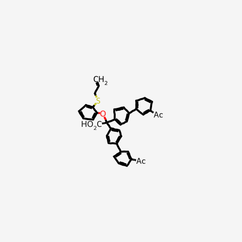 C=CCSc1ccccc1OC(C(=O)O)(c1ccc(-c2cccc(C(C)=O)c2)cc1)c1ccc(-c2cccc(C(C)=O)c2)cc1